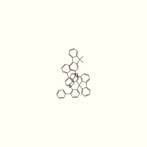 CC1(C)c2ccccc2-c2ccc(N(c3ccccc3-c3ccccc3)c3cccc4c3C3(c5ccccc5Sc5c(-c6ccccc6)cccc53)c3ccccc3-4)cc21